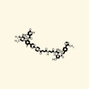 Cc1ncsc1-c1ccc(CNC(=O)[C@@H]2C[C@@H](O)CN2C(=O)C(NC(=O)CCNC(=O)CCC(=O)N2CCN(c3ncc(-c4cc(NC(=O)c5c[nH]c(=O)cc5C(F)(F)F)c(N5C[C@@H](C)N(C)[C@@H](C)C5)cc4F)cn3)CC2)C(C)(C)C)cc1